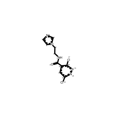 O=C(NCCn1ccnc1)c1cc(Cl)nnc1Cl